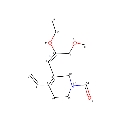 C=CC1=C(/C=C(\COC)OCC)CN(C=O)CC1